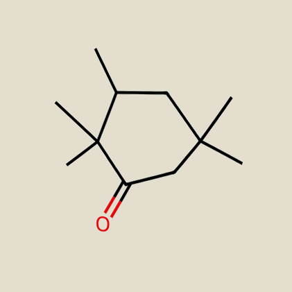 CC1CC(C)(C)CC(=O)C1(C)C